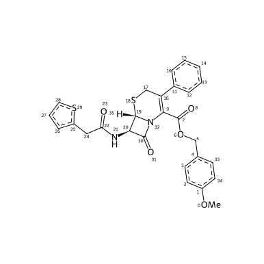 COc1ccc(COC(=O)C2=C(c3ccccc3)CS[C@H]3[C@H](NC(=O)Cc4cccs4)C(=O)N23)cc1